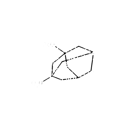 CC(=O)OC12CC3CC(C1)CC([N+](=O)[O-])(C3)C2